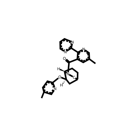 Cc1ccc(O[C@@H]2CC3CC[C@@H]2N(C(=O)c2cc(C)cnc2-c2ncccn2)C3)nc1